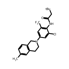 Cc1ccc2c(c1)CCN(c1cc(Cl)c(NC(=O)CC(C)(C)C)c(C(F)(F)F)c1)C2